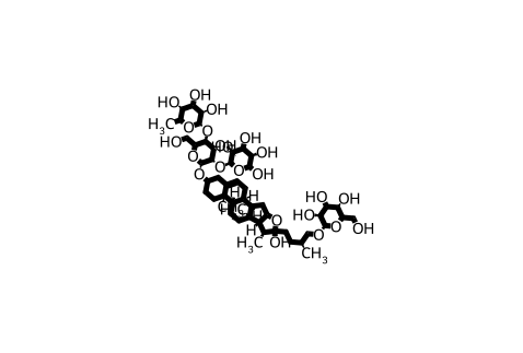 CC1O[C@@H](O[C@@H]2C(CO)O[C@@H](OC3CC[C@@]4(C)C(=CC[C@H]5[C@@H]6CC7OC(O)(CC[C@@H](C)CO[C@@H]8OC(CO)[C@@H](O)C(O)[C@@H]8O)[C@@H](C)[C@@H]7[C@@]6(C)CC[C@@H]54)C3)[C@@H](O[C@@H]3OC(O)[C@H](O)C(O)[C@@H]3O)C2O)[C@@H](O)C(O)[C@H]1O